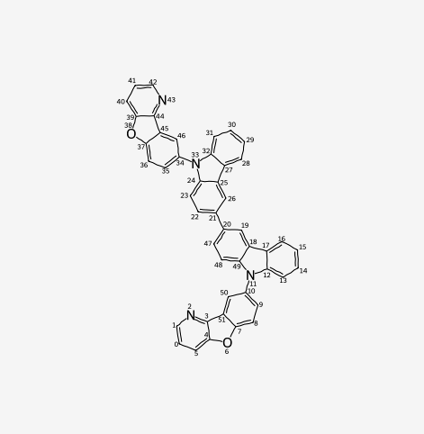 c1cnc2c(c1)oc1ccc(-n3c4ccccc4c4cc(-c5ccc6c(c5)c5ccccc5n6-c5ccc6oc7cccnc7c6c5)ccc43)cc12